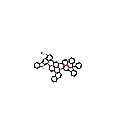 CC(C)(C)c1ccc(-c2ccc(N(c3ccc4c(c3)-c3ccccc3C4(c3ccccc3)c3ccccc3)c3ccc4ccccc4c3-c3ccc(-c4cccc5c4oc4ccccc45)cc3)c(-c3ccccc3)c2)cc1